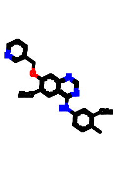 COc1cc2c(Nc3ccc(C)c(OC(C)=O)c3)ncnc2cc1OCc1cccnc1